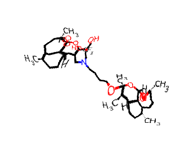 C[C@@H]1CC[C@H]2C(CN(CCCCO[C@@]3(C)O[C@@H]4O[C@]5(C)CCC6[C@H](C)CC[C@@H]([C@H]3C)[C@]64OO5)CC(O)CO)=C(C(F)(F)F)O[C@@H]3O[C@]4(C)CCC1[C@]32O4